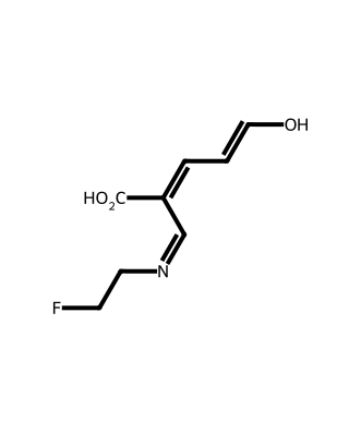 O=C(O)C(/C=N\CCF)=C/C=C/O